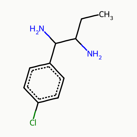 CCC(N)C(N)c1ccc(Cl)cc1